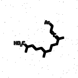 CC(=O)CC=C=C(C)CCCC(C)CCCC(C)C(=O)O